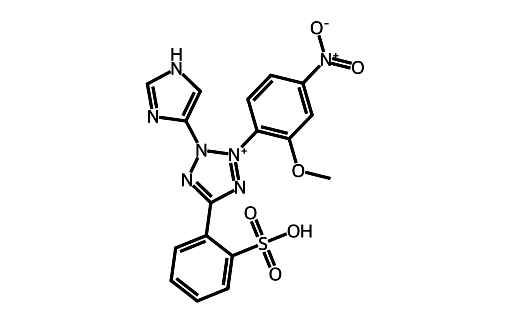 COc1cc([N+](=O)[O-])ccc1-[n+]1nc(-c2ccccc2S(=O)(=O)O)nn1-c1c[nH]cn1